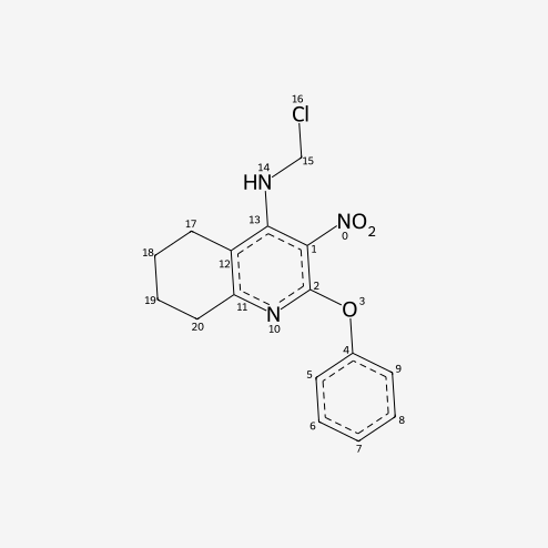 O=[N+]([O-])c1c(Oc2ccccc2)nc2c(c1NCCl)CCCC2